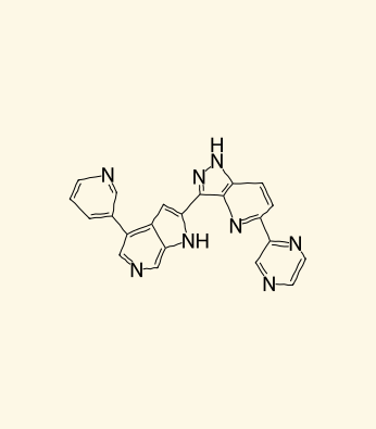 c1cncc(-c2cncc3[nH]c(-c4n[nH]c5ccc(-c6cnccn6)nc45)cc23)c1